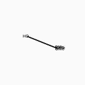 CO[Si](CCCCCCCCCCCCCCCCCCCCCCCCCCCCCCCCCCCCCO)(OC)OC